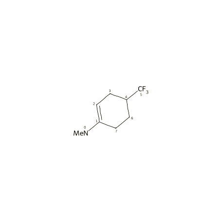 CNC1=CCC(C(F)(F)F)CC1